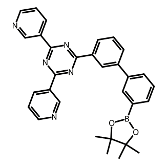 CC1(C)OB(c2cccc(-c3cccc(-c4nc(-c5cccnc5)nc(-c5cccnc5)n4)c3)c2)OC1(C)C